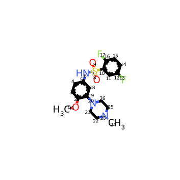 COc1ccc(NS(=O)(=O)c2cc(F)ccc2F)cc1N1CCN(C)CC1